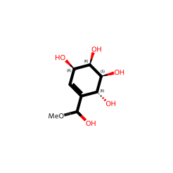 COC(O)C1=C[C@@H](O)[C@@H](O)[C@@H](O)[C@@H]1O